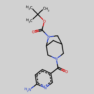 CC(C)(C)OC(=O)N1CC2CC1CN(C(=O)c1ccc(N)nc1)C2